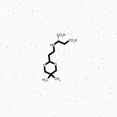 CC1(C)COC(CCN[C@@H](CC(=O)O)C(=O)O)OC1